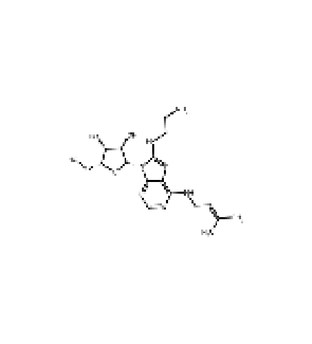 CC(C)=CCNc1ncnc2c1nc(NCCN)n2[C@@H]1O[C@H](CO)[C@@H](O)[C@H]1O